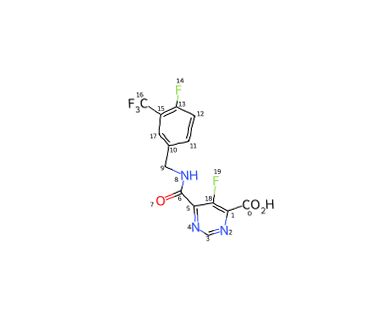 O=C(O)c1ncnc(C(=O)NCc2ccc(F)c(C(F)(F)F)c2)c1F